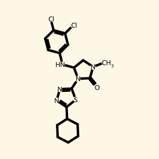 CN1CC(Nc2ccc(Cl)c(Cl)c2)N(c2nnc(C3CCCCC3)s2)C1=O